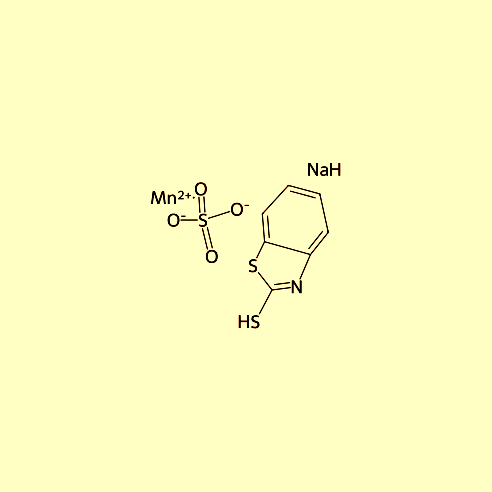 O=S(=O)([O-])[O-].Sc1nc2ccccc2s1.[Mn+2].[NaH]